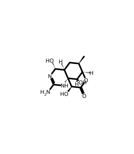 C[C@@H]1C[C@@H]2[C@@H](O)N=C(N)N[C@]23[C@H](O)C(=O)O[C@H]1[C@H]3O